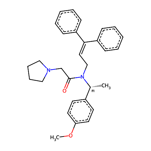 COc1ccc([C@@H](C)N(CC=C(c2ccccc2)c2ccccc2)C(=O)CN2CCCC2)cc1